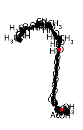 CC(=O)N(CO)c1ccc(C2=CCN(C(=O)COCCOCCOCCOCCOCCOCCOCCOCCNC(=O)CCNC(=O)c3nc(NC(=O)CCNC(=O)c4cc(NC(=O)c5cc(NC(=O)CCNC(=O)c6cc(NC(=O)c7cccn7C)cn6C)cn5C)cn4C)cn3C)CC2)cc1N(C)Cc1ccccc1CO